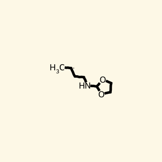 C[CH]CCNC1OCCO1